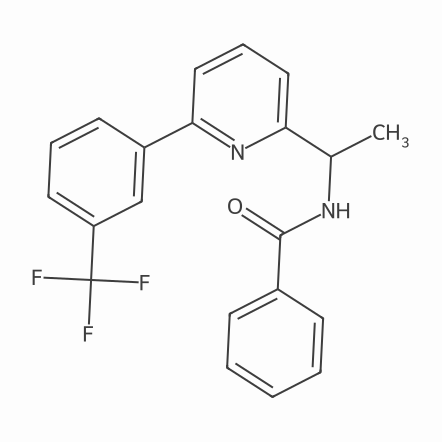 CC(NC(=O)c1ccccc1)c1cccc(-c2cccc(C(F)(F)F)c2)n1